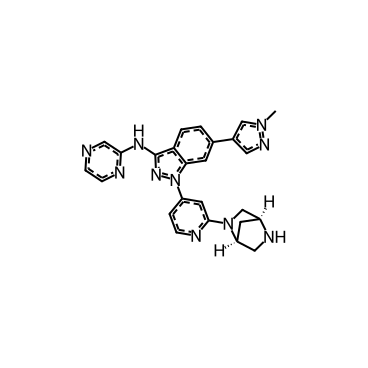 Cn1cc(-c2ccc3c(Nc4cnccn4)nn(-c4ccnc(N5C[C@@H]6C[C@H]5CN6)c4)c3c2)cn1